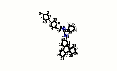 Cc1ccc(-c2ccc(C/N=C(\C=C\c3ccc4c5ccccc5c5ccccc5c4c3)c3ccccc3)cc2)cc1